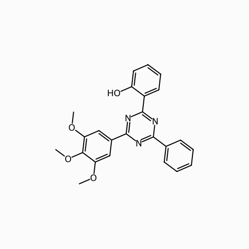 COc1cc(-c2nc(-c3ccccc3)nc(-c3ccccc3O)n2)cc(OC)c1OC